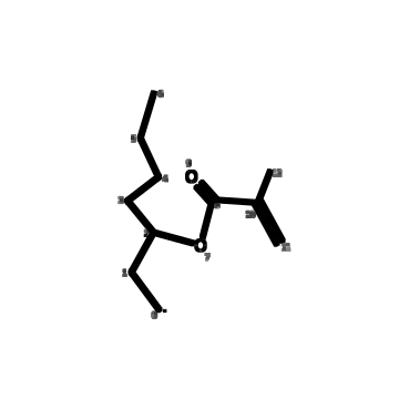 [CH2]CC(CCCC)OC(=O)C(=C)C